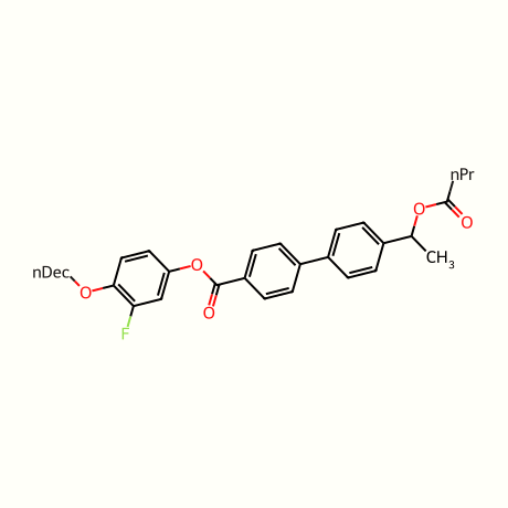 CCCCCCCCCCOc1ccc(OC(=O)c2ccc(-c3ccc(C(C)OC(=O)CCC)cc3)cc2)cc1F